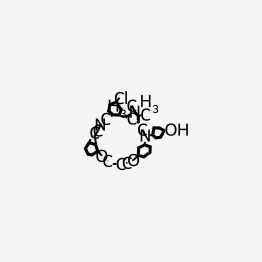 Cc1c2cc(n1C)-c1cc(Cl)ccc1CN1CCc3c(cccc3OCCCCOc3cccc(c3)N(c3ccc(O)cc3)C2)C1